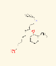 CC1CCCCC1=O.CCCCCCCC/C=C\CCCCCCCCO